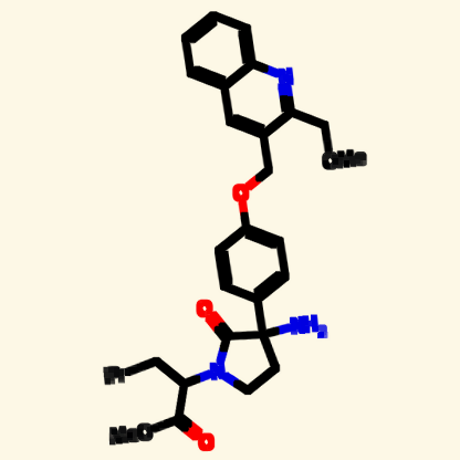 COCc1nc2ccccc2cc1COc1ccc(C2(N)CCN(C(CC(C)C)C(=O)OC)C2=O)cc1